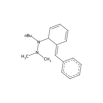 CCCCN(C1C=CC=CC1=Cc1ccccc1)N(C)C